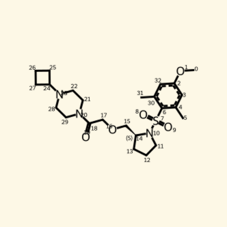 COc1cc(C)c(S(=O)(=O)N2CCC[C@H]2COCC(=O)N2CCN(C3CCC3)CC2)c(C)c1